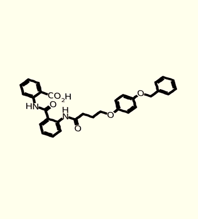 O=C(CCCOc1ccc(OCc2ccccc2)cc1)Nc1ccccc1C(=O)Nc1ccccc1C(=O)O